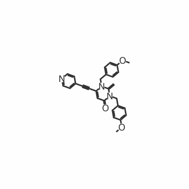 C=C1N(Cc2ccc(OC)cc2)C(=O)C=C(C#Cc2ccncc2)N1Cc1ccc(OC)cc1